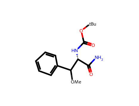 COC(c1ccccc1)[C@H](NC(=O)OC(C)(C)C)C(N)=O